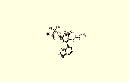 NCCCn1c(-c2cccc3ncsc23)cc(=O)[nH]c1=S.O=C(O)C(F)(F)F